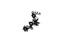 COc1ccc(-n2nc3c(N4CCCC(C(=O)NCc5ccccn5)C4)nnc(C)c3c2C)cc1